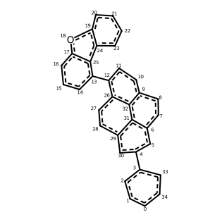 c1ccc(-c2cc3ccc4ccc(-c5cccc6oc7ccccc7c56)c5ccc(c2)c3c45)cc1